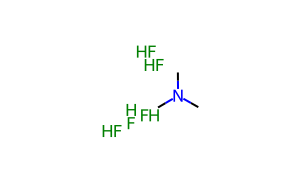 CN(C)C.F.F.F.F.F